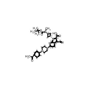 CC(=O)c1ccc(N2CCN(c3ccc4c(C#N)c(C(=O)O)n([C@H]5C[C@H](N(C)C(=O)OC(C)(C)C)C5)c4n3)CC2)cc1